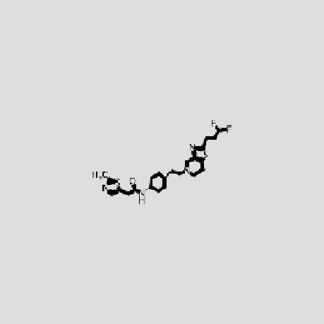 Cc1ncc(CC(=O)N[C@H]2CC[C@H](CCN3CCc4sc(CCC(F)F)nc4C3)CC2)s1